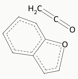 C=C=O.c1ccc2occc2c1